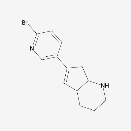 Brc1ccc(C2=CC3CCCNC3C2)cn1